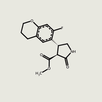 COC(=O)[C@@H]1C(=O)NC[C@H]1c1cc2c(cc1F)OCCC2